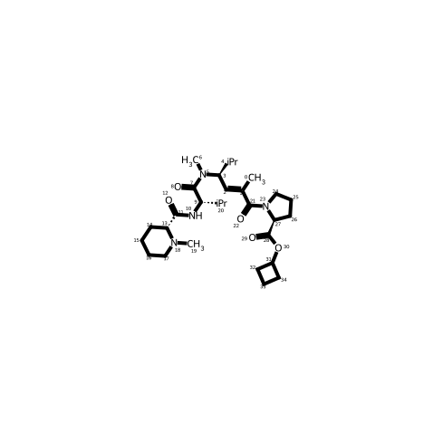 C/C(=C\[C@H](C(C)C)N(C)C(=O)[C@@H](NC(=O)[C@H]1CCCCN1C)C(C)C)C(=O)N1CCC[C@H]1C(=O)OC1CCC1